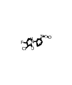 O=C=Nc1cccc(-n2ncc(F)c(Cl)c2=O)c1